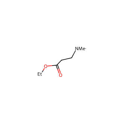 CCOC(=O)CC[N]C